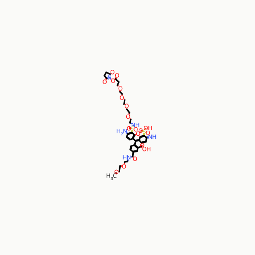 COCCOCCNC(=O)c1ccc(-c2c3ccc(=N)c(S(=O)(=O)O)c-3oc3c(S(=O)(=O)NCCOCCOCCOCCOCCC(=O)ON4C(=O)CCC4=O)c(N)ccc23)c(C(=O)O)c1